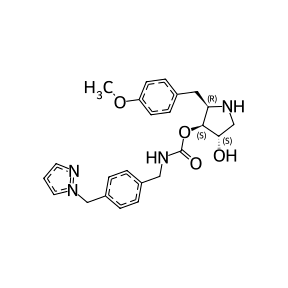 COc1ccc(C[C@H]2NC[C@H](O)[C@H]2OC(=O)NCc2ccc(Cn3cccn3)cc2)cc1